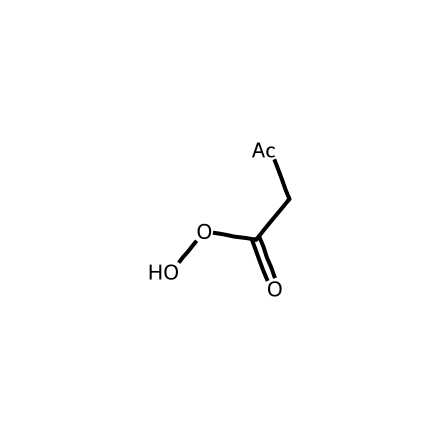 CC(=O)CC(=O)OO